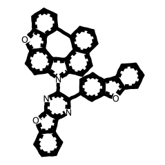 c1cc2c3c(c1)ccc1c3c3c4c(ccc3n1-c1nc3oc5ccccc5c3nc1-c1ccc3c(c1)oc1ccccc13)oc1cccc-2c14